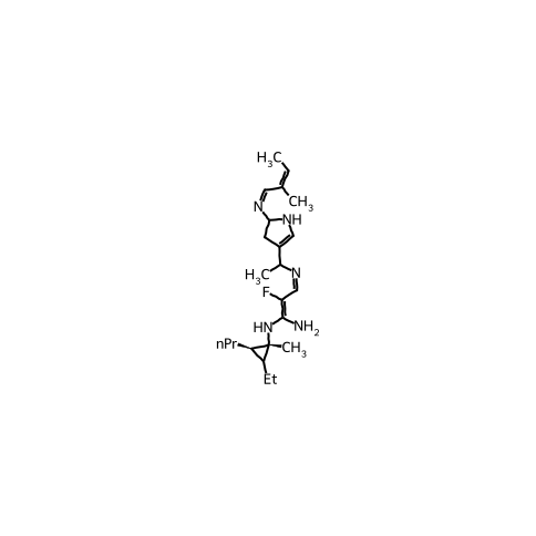 C/C=C(C)\C=N/C1CC(C(C)/N=C\C(F)=C(/N)N[C@]2(C)C(CC)[C@H]2CCC)=CN1